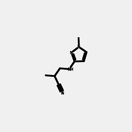 CC(C#N)CNc1ccn(C)n1